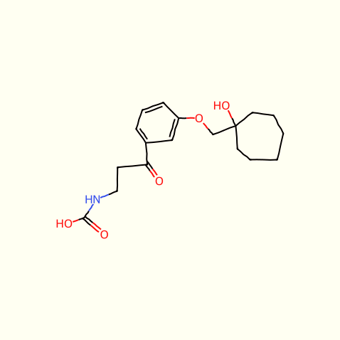 O=C(O)NCCC(=O)c1cccc(OCC2(O)CCCCCC2)c1